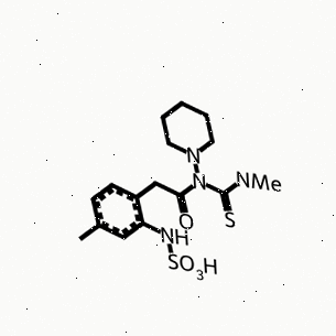 CNC(=S)N(C(=O)Cc1ccc(C)cc1NS(=O)(=O)O)N1CCCCC1